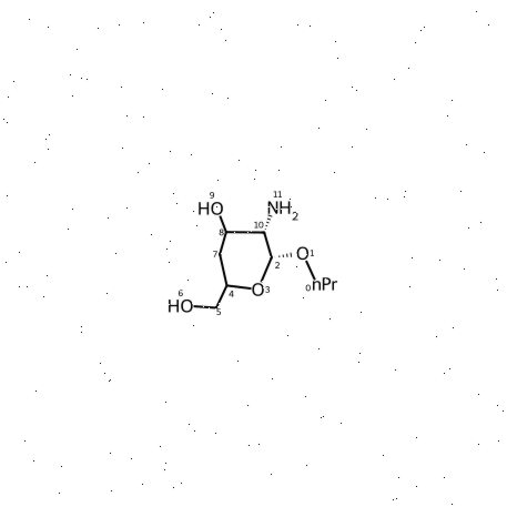 CCCO[C@@H]1OC(CO)CC(O)[C@@H]1N